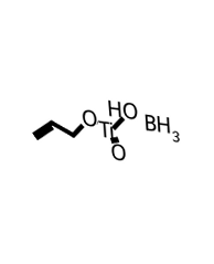 B.C=CC[O][Ti](=[O])[OH]